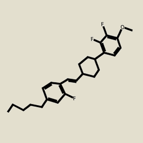 CCCCCc1ccc(/C=C/C2CCC(c3ccc(OC)c(F)c3F)CC2)c(F)c1